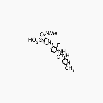 CNC(=O)[C@@H]1CN(Cc2cccc(NC(=O)Nc3ccc(C)nc3)c2F)CCN1C(=O)O